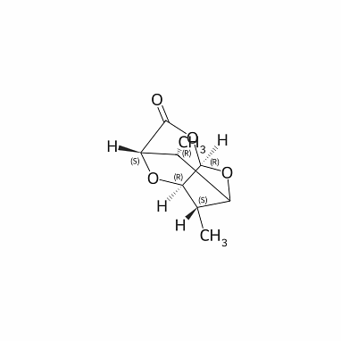 C[C@@H]1C2O[C@@H]3OC(=O)[C@H]1O[C@@H]3[C@H]2C